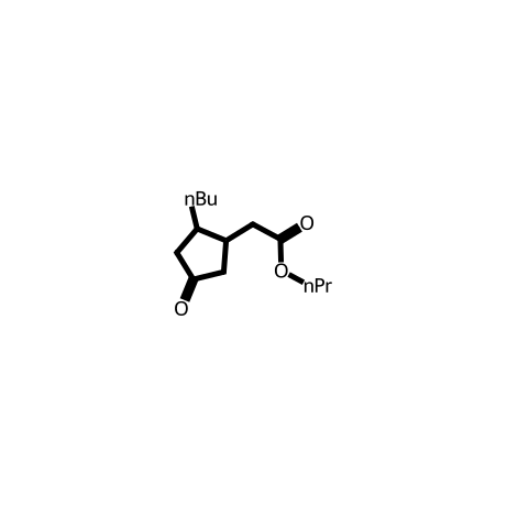 CCCCC1CC(=O)CC1CC(=O)OCCC